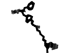 CCOC(=O)C(Cc1ccc(CCNCCCCCCCC(=O)OC(C)(C)C)cc1)SCc1ccccc1